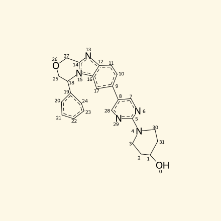 OC1CCN(c2ncc(-c3ccc4nc5n(c4c3)C(c3ccccc3)COC5)cn2)CC1